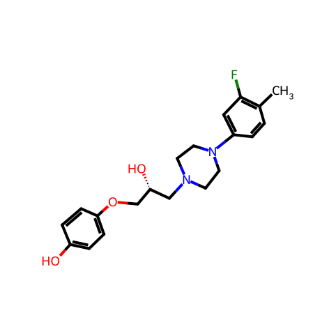 Cc1ccc(N2CCN(C[C@@H](O)COc3ccc(O)cc3)CC2)cc1F